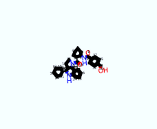 O=C(NC1CCCC[C@@H]1C(=O)N1CC[C@@H]2[C@H](C3C=CC=CC3)Nc3ccccc3[C@@H]21)c1ccc(CO)cc1